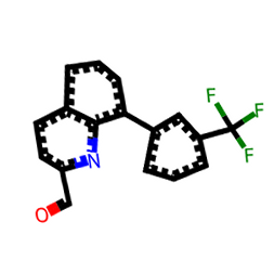 O=Cc1ccc2cccc(-c3cccc(C(F)(F)F)c3)c2n1